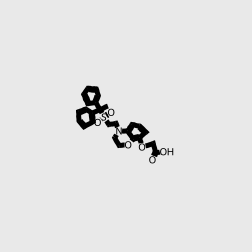 CC(c1ccccc1)(c1ccccc1)S(=O)(=O)CCN1CCOc2c(OCC(=O)O)cccc21